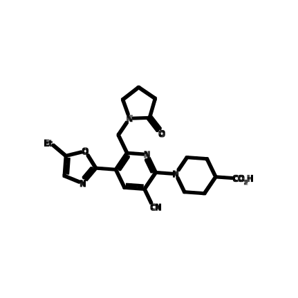 CCc1cnc(-c2cc(C#N)c(N3CCC(C(=O)O)CC3)nc2CN2CCCC2=O)o1